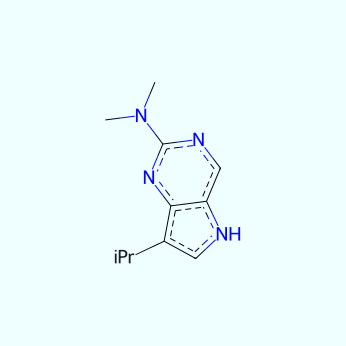 CC(C)c1c[nH]c2cnc(N(C)C)nc12